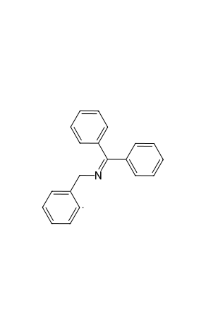 [c]1ccccc1CN=C(c1ccccc1)c1ccccc1